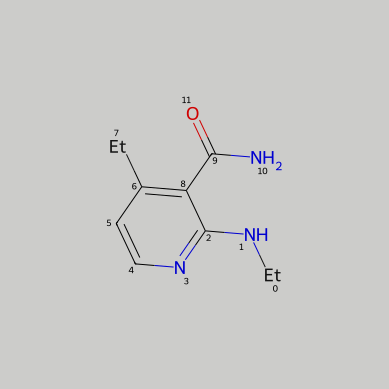 CCNc1nccc(CC)c1C(N)=O